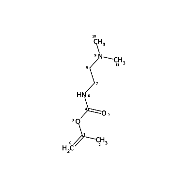 C=C(C)OC(=O)NCCN(C)C